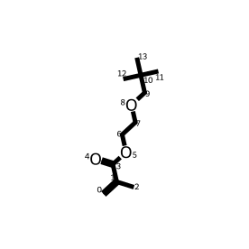 C=C(C)C(=O)OCCOCC(C)(C)C